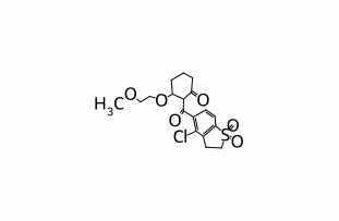 COCCOC1CCCC(=O)C1C(=O)c1ccc2c(c1Cl)CCS2(=O)=O